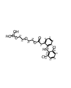 O=C(Cc1ccccc1Nc1c(Cl)cccc1Cl)OCCOCCON(O)O